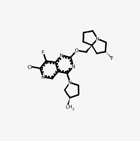 C[C@@H]1CCN(c2nc(OC[C@@]34CCCN3C[C@H](F)C4)nc3c(F)c(Cl)ncc23)C1